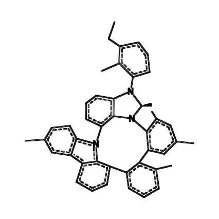 CCc1cccc(N2c3cccc4c3N(c3c(C)cc(C)cc3-c3c(C)cccc3-c3cccc5c6cc(C)ccc6n-4c35)[C@@H]2C)c1C